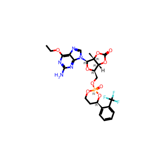 CCOc1nc(N)nc2c1ncn2[C@@H]1O[C@H](CO[P@]2(=O)OCC[C@H](c3ccccc3C(F)(F)F)O2)[C@H]2OC(=O)O[C@]21C